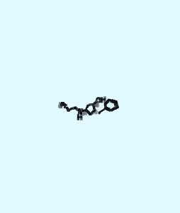 CC(C)CCN[C@@H]1C[C@@H](Cc2ccccc2)[C@H](O)C1